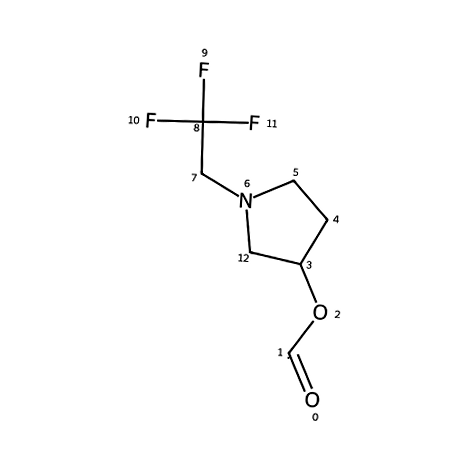 O=[C]OC1CCN(CC(F)(F)F)C1